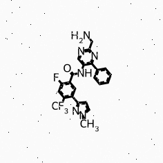 Cn1ccc(-c2cc(C(=O)Nc3cnc(CN)nc3-c3ccccc3)c(F)cc2C(F)(F)F)n1